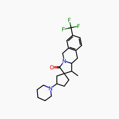 CC1C2Cc3ccc(C(F)(F)F)cc3CN2C(=O)C12CCC(N1CCCCC1)C2